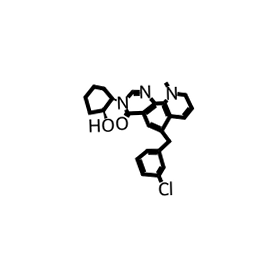 CN1CC=Cc2c(Cc3cccc(Cl)c3)cc3c(=O)n([C@H]4CCCC[C@@H]4O)cnc3c21